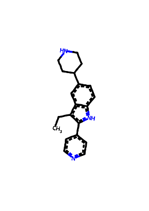 CCc1c(-c2ccncc2)[nH]c2ccc(C3CCNCC3)cc12